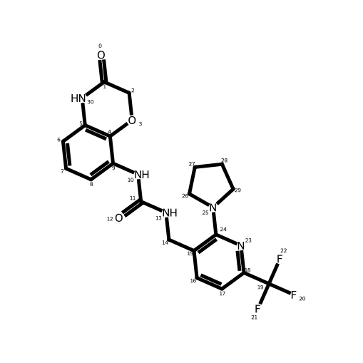 O=C1COc2c(cccc2NC(=O)NCc2ccc(C(F)(F)F)nc2N2CCCC2)N1